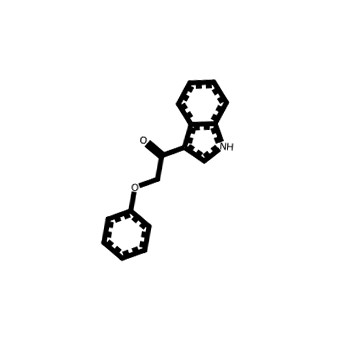 O=C(COc1ccccc1)c1c[nH]c2ccccc12